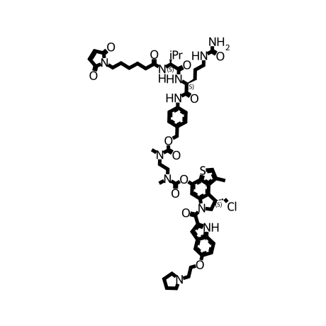 Cc1csc2c(OC(=O)N(C)CCN(C)C(=O)OCc3ccc(NC(=O)[C@H](CCCNC(N)=O)NC(=O)[C@@H](NC(=O)CCCCCN4C(=O)C=CC4=O)C(C)C)cc3)cc3c(c12)[C@H](CCl)CN3C(=O)c1cc2cc(OCCN3CCCC3)ccc2[nH]1